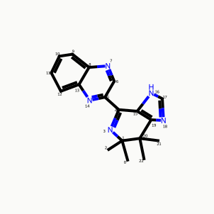 CC1(C)N=C(c2cnc3ccccc3n2)c2[nH]cnc2C1(C)C